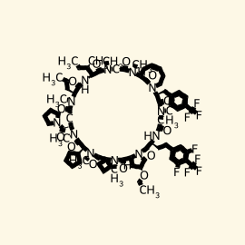 CCC[C@H]1C(=O)N[C@@H]([C@@H](C)CC)C(=O)N(C)CC(=O)N(C)[C@H]2C/C=C\CCN(C2=O)[C@@H](Cc2ccc(C(F)(F)F)cc2)C(=O)N(C)CC(=O)N[C@@H](CCc2cc(F)c(C(F)(F)F)c(F)c2)C(=O)N2C[C@H](OCC)C[C@H]2C(=O)N(C)C2(CCC2)C(=O)N(C)[C@@H](C2CCCC2)C(=O)N(C)[C@H](C(=O)N2CCCC2)CC(=O)N1C